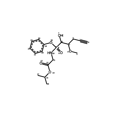 C#CCC(OC)C(O)P(=O)(NCC(=O)OC(C)C)Oc1ccccc1